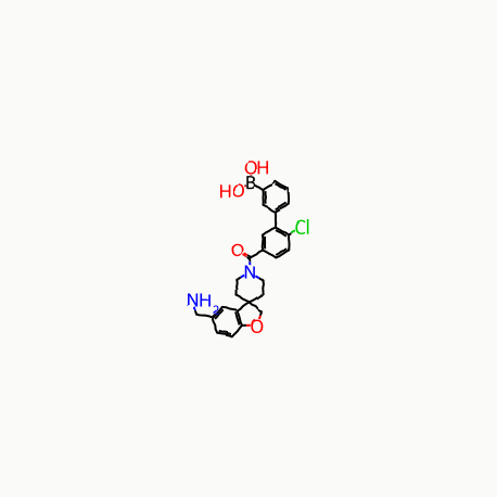 NCc1ccc2c(c1)C1(CCN(C(=O)c3ccc(Cl)c(-c4cccc(B(O)O)c4)c3)CC1)CO2